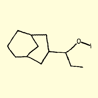 CCC(OI)C1CC2CCCC(C2)C1